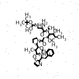 CC[C@H](C)[C@@H]([C@@H](CC(=O)N1CCC[C@H]1[C@H](OC)[C@@H](C)C(=O)N[C@@H](Cc1ccccc1)c1nccs1)OC)N(C)C(=O)[C@@H](N)CNC(=O)OC(C)(C)C